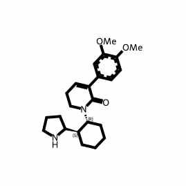 COc1ccc(C2=CCCN([C@@H]3CCCC[C@H]3C3CCCN3)C2=O)cc1OC